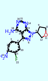 Nc1ccc(-c2nn(C3CCOC3)c3ncnc(N)c23)cc1F